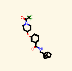 C[C@@H]1C2CC(CNC(=O)c3cccc(OC4CCN(C(=O)C(F)(F)F)CC4)c3)C1C2